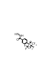 [NH]NC(=O)c1ccc(P(=O)(C(F)(F)C(F)(F)F)C(F)(F)C(F)(F)F)cc1